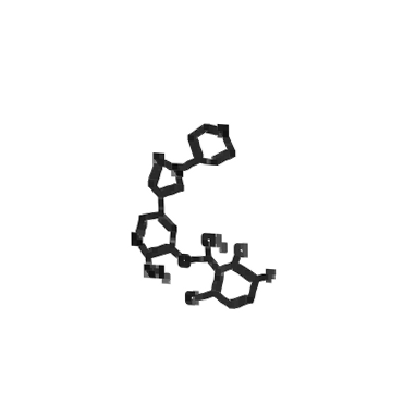 CC(Oc1cc(-c2cnn(-c3ccncc3)c2)cnc1N)c1c(Cl)ccc(F)c1Cl